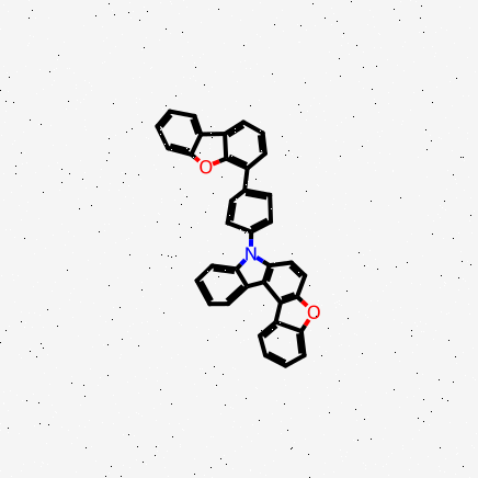 c1ccc2c(c1)oc1c(-c3ccc(-n4c5ccccc5c5c6c(ccc54)oc4ccccc46)cc3)cccc12